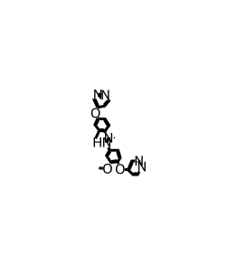 COc1cc(N[N]c2ccc(Oc3ccnnc3)cc2C)ccc1Oc1ccnnc1